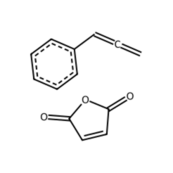 C=C=Cc1ccccc1.O=C1C=CC(=O)O1